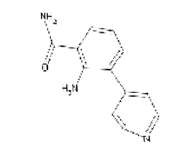 NC(=O)c1cccc(-c2ccncc2)c1N